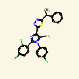 Cc1c(-c2nnc(C(C)c3ccccc3)s2)nc(-c2ccc(Cl)cc2Cl)n1-c1ccc(Cl)cc1